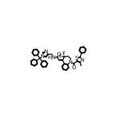 Cc1nc(-c2ccccc2)sc1C(=O)N1CCC(F)(F)/C(=C\C(=O)NCc2cn(C(c3ccccc3)(c3ccccc3)c3ccccc3)cn2)c2ccccc21